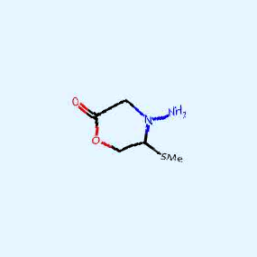 CSC1COC(=O)CN1N